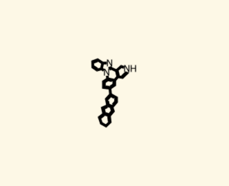 C1=CC2N=C3C4=C(C=CNC4)c4cc(-c5ccc6cc7c(cc6c5)=CCCC=7)ccc4N3C2C=C1